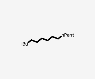 CCCCCCCCCCC[C](C)CC